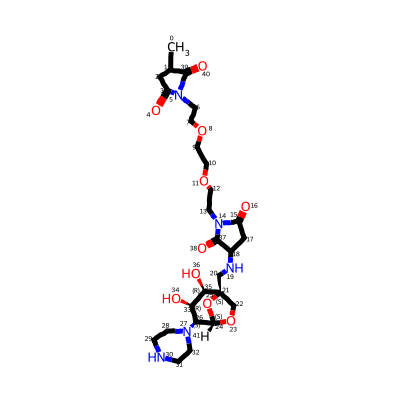 CC1CC(=O)N(CCOCCOCCN2C(=O)CC(NC[C@@]34CO[C@@H](O3)[C@@H](N3CCNCC3)[C@@H](O)[C@H]4O)C2=O)C1=O